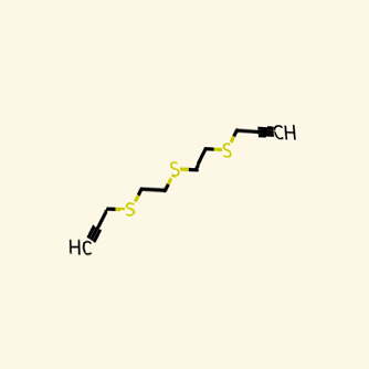 C#CCSCCSCCSCC#C